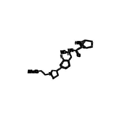 COCCN1CCC(c2ccc(C[C@@H](C#N)NC(=O)C3NC4CCC3C4)c(F)c2)C1